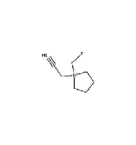 C#CC[N+]1(CF)CCCC1